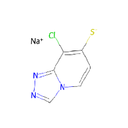 [Na+].[S-]c1ccn2cnnc2c1Cl